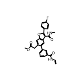 C=CNC(=O)c1cccc(-c2cc3c(C(=O)NC)c(-c4ccc(F)cc4)oc3cc2CC(=O)OC)c1